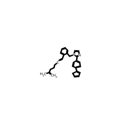 C=C(C)CCCC/C=C/c1ccccc1Cn1ccnc1-c1ccc(C2=CC=CC2)cc1